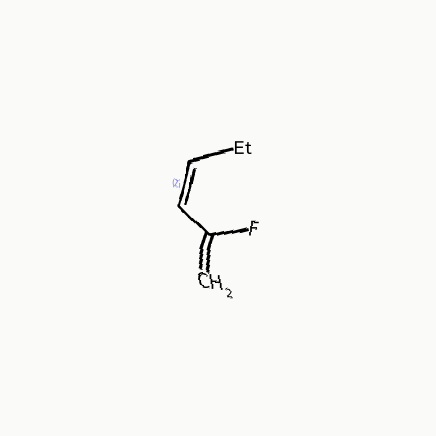 C=C(F)/C=C\CC